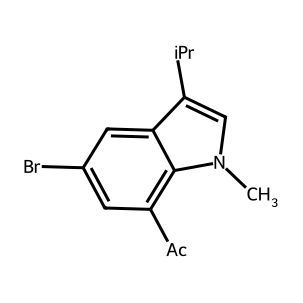 CC(=O)c1cc(Br)cc2c(C(C)C)cn(C)c12